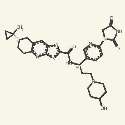 CC1([C@H]2CCc3nc4sc(C(=O)N[C@H](CCN5CCC(O)CC5)c5ccc(N6CC(=O)NC6=O)nc5)nc4cc3C2)CC1